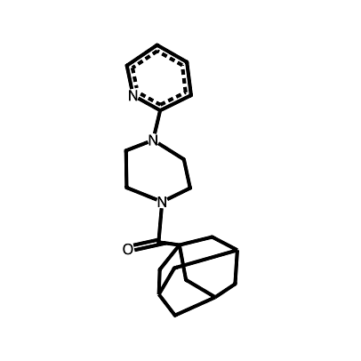 O=C(N1CCN(c2ccccn2)CC1)C12CC3CC(CC(C3)C1)C2